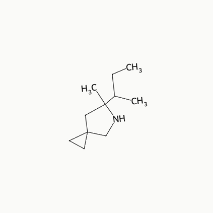 CCC(C)C1(C)CC2(CC2)CN1